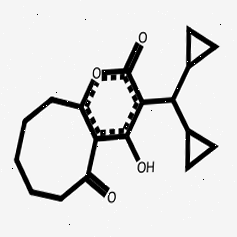 O=C1CCCCCc2oc(=O)c(C(C3CC3)C3CC3)c(O)c21